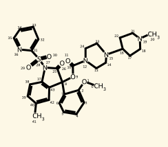 COc1ccccc1C1(OC(=O)N2CCN(C3CCN(C)CC3)CC2)C(=O)N(S(=O)(=O)c2ccccn2)c2ccc(C)cc21